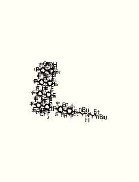 CCCCC(CC)CCNCCC(CC)CCCC.Fc1c(F)c(F)c(-c2c(C(F)(F)F)c(F)c(F)c(F)c2C(F)(F)C(F)(F)F)c(F)c1F.Fc1c(F)c(F)c(-c2c(F)c(F)c(F)c(F)c2F)c(F)c1F.Fc1c(F)c(F)c(-c2c(F)c(F)c(F)c(F)c2F)c(F)c1F.Fc1c(F)c(F)c(-c2c(F)c(F)c(F)c(F)c2F)c(F)c1F.Fc1c(F)c(F)c(-c2c(F)c(F)c(F)c(F)c2F)c(F)c1F.[O]=[Al][OH]